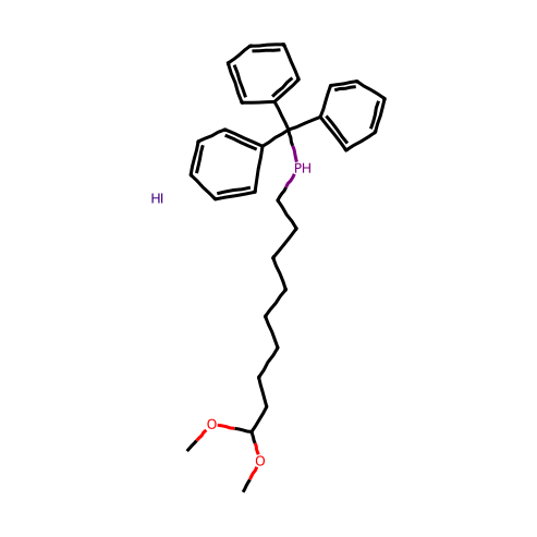 COC(CCCCCCCCPC(c1ccccc1)(c1ccccc1)c1ccccc1)OC.I